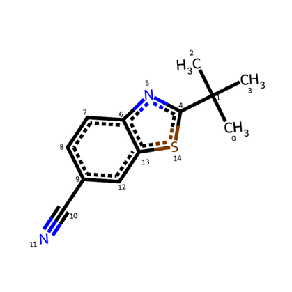 CC(C)(C)c1nc2ccc(C#N)cc2s1